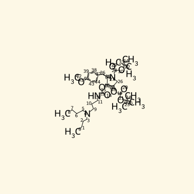 CCCCN(CCCC)CCCNC(=O)O[C@@H]1[C@@H](OC(=O)OC(C)(C)C)CN(C(=O)OC(C)(C)C)[C@@H]1Cc1ccc(OC)cc1